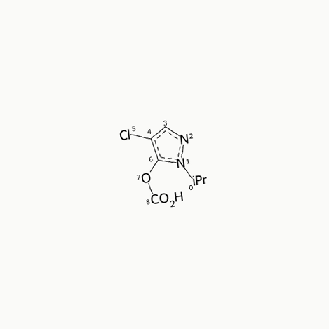 CC(C)n1ncc(Cl)c1OC(=O)O